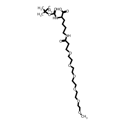 COCCOCCOCCOCCOCCOCCC(=O)NCCCCC(NC(=O)OC(C)(C)C)C(=O)O